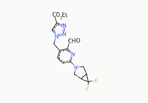 CCOC(=O)c1cn(Cc2ccc(N3CC4C(C3)C4(F)F)nc2C=O)nn1